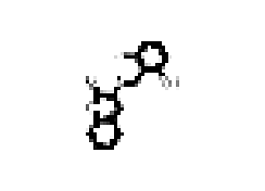 O=c1oc2ccccc2cc1N=Cc1c(O)cccc1Br